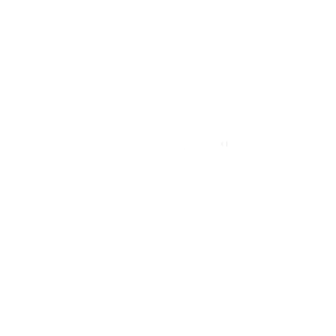 Cc1cc(CC(=O)O)ccc1-c1ccc(O)cc1